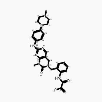 C=C(F)C(=O)Nc1ccccc1CN1Cc2cnc(Nc3ccc(N4CCN(C)CC4)cc3)nc2N(C)C1=O